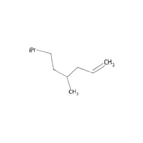 [CH2]C(C)CCC(C)CC=C